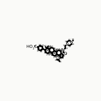 C=C(C)[C@@H]1CC[C@]2(C(=O)NCCN3CCN(C)CC3)CC[C@]3(C)[C@H](CC[C@@H]4[C@@]5(C)CC=C(c6ccc(C(=O)O)cc6)C(C)(C)[C@@H]5CC[C@]43C)[C@@H]12